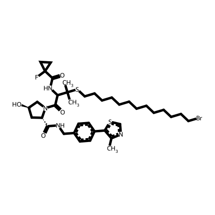 Cc1ncsc1-c1ccc(CNC(=O)[C@@H]2C[C@@H](O)CN2C(=O)C(NC(=O)C2(F)CC2)C(C)(C)SCCCCCCCCCCCCCBr)cc1